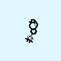 CC12CCc3cc(B4OC(C)(C)C(C)(C)O4)ccc3C3CC(C1)C2C3